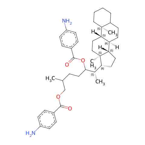 CC(CCC(OC(=O)c1ccc(N)cc1)[C@@H](C)[C@H]1CC[C@H]2[C@@H]3CCC4CCCC[C@]4(C)[C@H]3CC[C@]12C)COC(=O)c1ccc(N)cc1